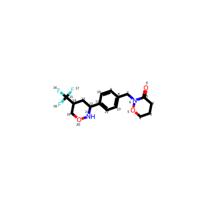 O=C1CCCON1Cc1ccc(C2CC(C(F)(F)F)CON2)cc1